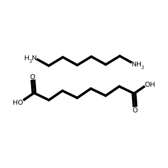 NCCCCCCN.O=C(O)CCCCCCC(=O)O